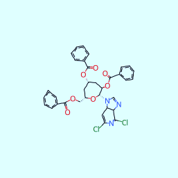 O=C(OC[C@@H]1C[C@H](OC(=O)c2ccccc2)C[C@@H](OC(=O)c2ccccc2)[C@H](N2C=NC3C(Cl)=NC(Cl)=CC32)O1)c1ccccc1